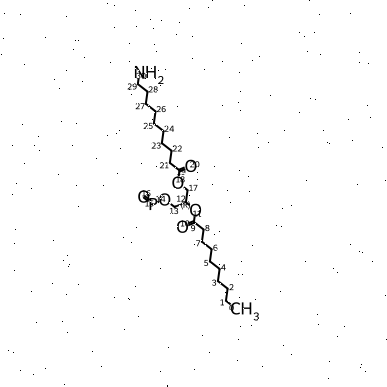 CCCCCCCCCC(=O)O[C@@H](COP=O)COC(=O)CCCCCCCCCN